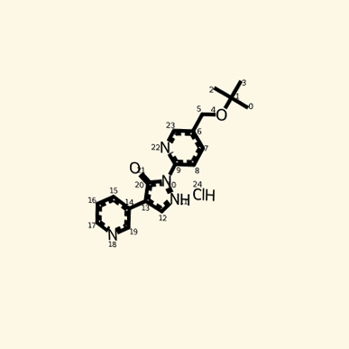 CC(C)(C)OCc1ccc(-n2[nH]cc(-c3cccnc3)c2=O)nc1.Cl